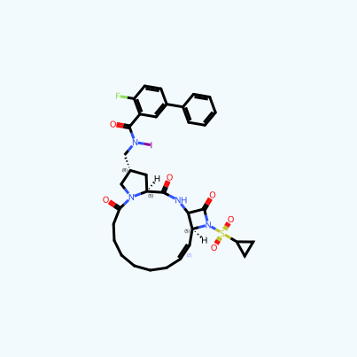 O=C1NC2C(=O)N(S(=O)(=O)C3CC3)[C@H]2/C=C\CCCCCCC(=O)N2C[C@H](CN(I)C(=O)c3cc(-c4ccccc4)ccc3F)C[C@@H]12